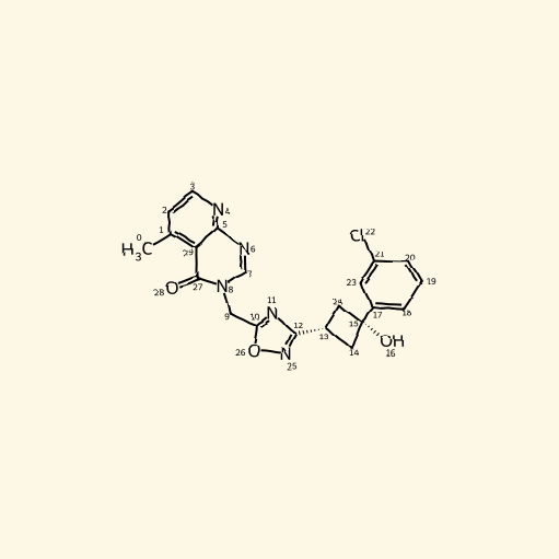 Cc1ccnc2ncn(Cc3nc([C@H]4C[C@](O)(c5cccc(Cl)c5)C4)no3)c(=O)c12